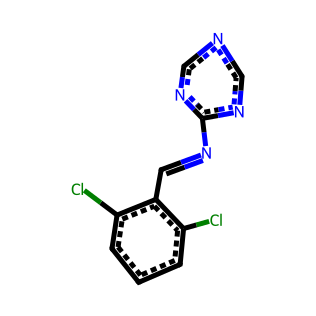 Clc1cccc(Cl)c1C=Nc1ncncn1